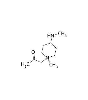 CNC1CC[N+](C)(CC(C)=O)CC1